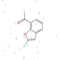 CC(=O)c1cccc2cc(F)oc12